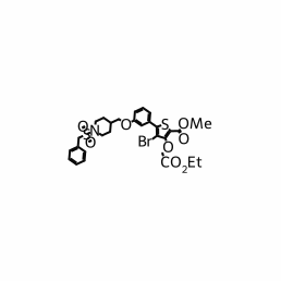 CCOC(=O)COc1c(C(=O)OC)sc(-c2cccc(OCC3CCN(S(=O)(=O)Cc4ccccc4)CC3)c2)c1Br